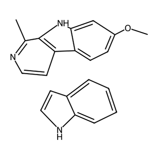 COc1ccc2c(c1)[nH]c1c(C)nccc12.c1ccc2[nH]ccc2c1